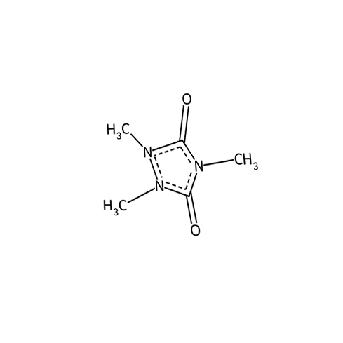 Cn1c(=O)n(C)n(C)c1=O